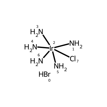 Br.[NH2][Ir]([NH2])([NH2])([NH2])([NH2])[Cl]